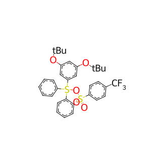 CC(C)(C)Oc1cc(OC(C)(C)C)cc(S(OS(=O)(=O)c2ccc(C(F)(F)F)cc2)(c2ccccc2)c2ccccc2)c1